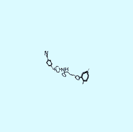 Cc1ccc(C)c(OCCCC(=O)NC2CCN(Cc3ccc(C#N)cc3)CC2)c1